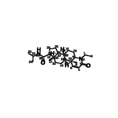 CCN1C(=O)C=C[C@@]2(C)C1CC[C@@H]1[C@H]2CC[C@]2(C)C(C(=O)NC(C)C)CC[C@@H]12